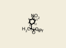 C=C(C(=O)OC(C)C)c1ccc([N+](=O)[O-])cc1